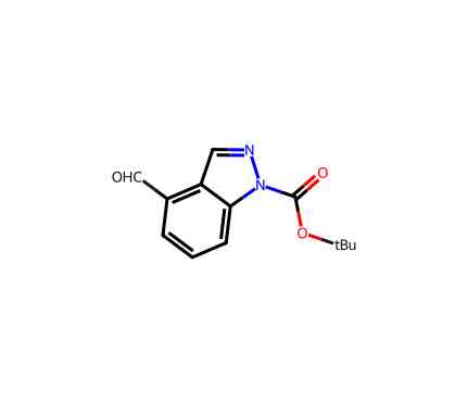 CC(C)(C)OC(=O)n1ncc2c(C=O)cccc21